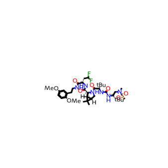 COc1ccc(OC)c(CCNC(=O)[C@H](CC(F)F)NC(=O)[C@@H]2[C@@H]3[C@H](CN2C(=O)[C@@H](NC(=O)N[C@H](CN(C)S(C)(=O)=O)C(C)(C)C)C(C)(C)C)C3(C)C)c1